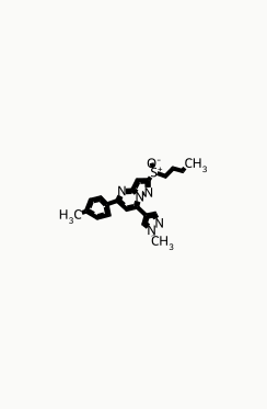 CCCC[S+]([O-])c1cc2nc(-c3ccc(C)cc3)cc(-c3cnn(C)c3)n2n1